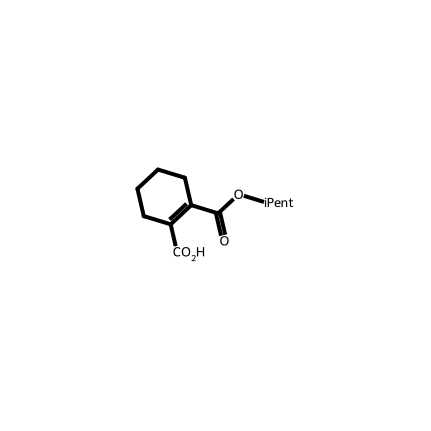 CCCC(C)OC(=O)C1=C(C(=O)O)CCCC1